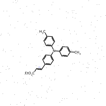 CCOC(=O)/C=C/c1ccc(N(c2ccc(C)cc2)c2ccc(C)cc2)cc1